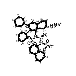 [N-]=[N+](N(c1cccc2ccccc12)S(=O)(=O)[O-])N(c1c(-c2ccccc2)c(-c2ccccc2)cc2ccccc12)S(=O)(=O)[O-].[Na+].[Na+]